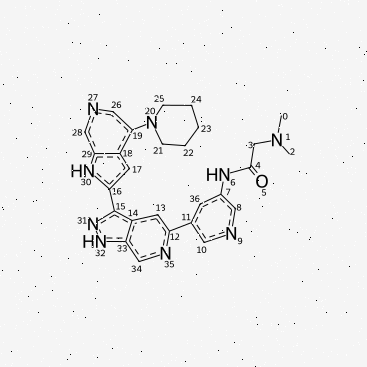 CN(C)CC(=O)Nc1cncc(-c2cc3c(-c4cc5c(N6CCCCC6)cncc5[nH]4)n[nH]c3cn2)c1